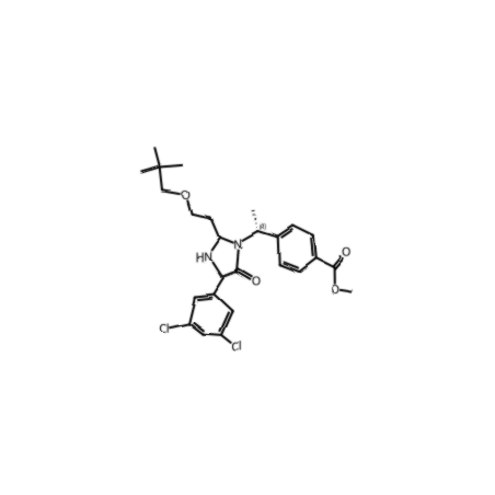 COC(=O)c1ccc([C@@H](C)N2C(=O)C(c3cc(Cl)cc(Cl)c3)NC2CCOCC(C)(C)C)cc1